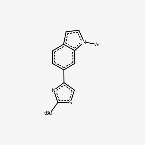 CC(=O)n1ccc2ccc(-c3csc(C(C)(C)C)n3)cc21